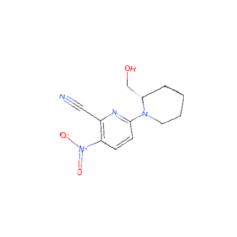 N#Cc1nc(N2CCCC[C@H]2CO)ccc1[N+](=O)[O-]